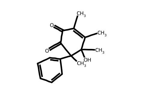 CC1=C(C)C(C)(O)C(C)(c2ccccc2)C(=O)C1=O